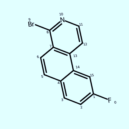 Fc1ccc2ccc3c(Br)nccc3c2c1